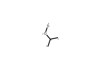 CC(C)[O][Ti]